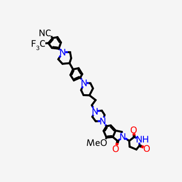 COc1cc(N2CCN(CCC3CCN(c4ccc(C5CCN(c6ccc(C#N)c(C(F)(F)F)c6)CC5)cc4)CC3)CC2)cc2c1C(=O)N(C1CCC(=O)NC1=O)C2